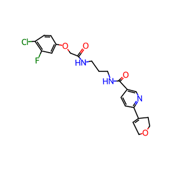 O=C(COc1ccc(Cl)c(F)c1)NCCCNC(=O)c1ccc(C2=CCOCC2)nc1